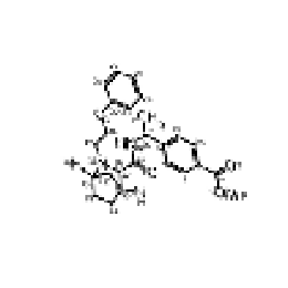 COC(=O)c1ccc([C@H](C)NC(=O)[C@H]2[C@@H]3CC[C@@H](C3)N2CCOc2ccccc2)cc1